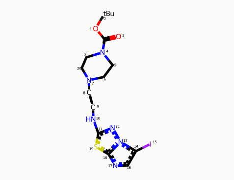 CC(C)(C)OC(=O)N1CCN(CCNc2nn3c(I)cnc3s2)CC1